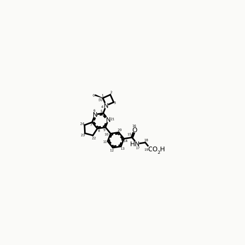 C[C@H]1CCN1c1nc2c(c(-c3cccc(C(=O)NCC(=O)O)c3)n1)CCC2